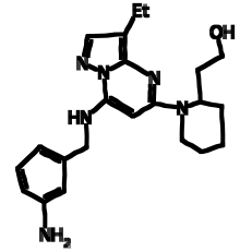 CCc1cnn2c(NCc3cccc(N)c3)cc(N3CCCCC3CCO)nc12